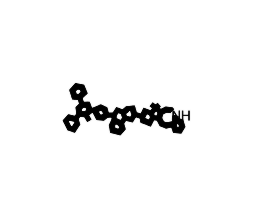 Cc1c(C2=CCCC=C2)cc(-c2ccccc2)cc1-c1ccc(C2CC3=CC=C(C4=CC5C(C=C4)c4ccc6ccccc6[nH]ccc4C5(C)C)CC3c3ccccc32)cc1